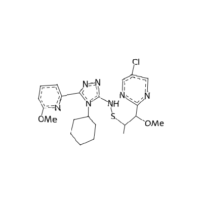 COc1cccc(-c2nnc(NSC(C)C(OC)c3ncc(Cl)cn3)n2C2CCCCC2)n1